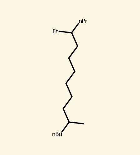 [CH2]CCC(CC)CCCCCCC(C)CCCC